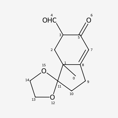 CC12CC(C=O)C(=O)C=C1CCC21OCCO1